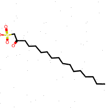 CCCCCCCCCCCCCCCC(=O)CS(=O)(=O)O